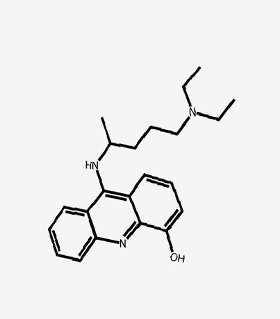 CCN(CC)CCCC(C)Nc1c2ccccc2nc2c(O)cccc12